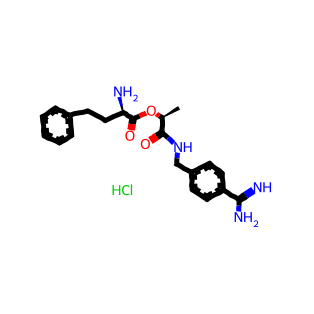 C[C@H](OC(=O)[C@H](N)CCc1ccccc1)C(=O)NCc1ccc(C(=N)N)cc1.Cl